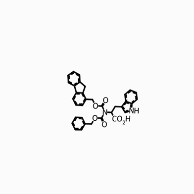 O=C(O)C(Cc1c[nH]c2ccccc12)N(C(=O)OCc1ccccc1)C(=O)OCc1cccc2c1Cc1ccccc1-2